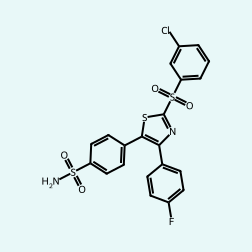 NS(=O)(=O)c1ccc(-c2sc(S(=O)(=O)c3cccc(Cl)c3)nc2-c2ccc(F)cc2)cc1